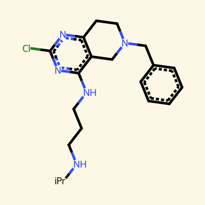 CC(C)NCCCNc1nc(Cl)nc2c1CN(Cc1ccccc1)CC2